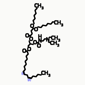 CCCCC/C=C\C/C=C\CCCCCCCC(=O)OCC(COC(=O)CCC(OCCCCCCCC)OCCCCCCCC)COC(=O)NCCN(CC)CC